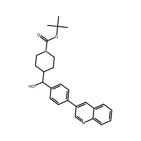 CC(C)(C)OC(=O)N1CCC(C(O)c2ccc(-c3cnc4ccccc4c3)cc2)CC1